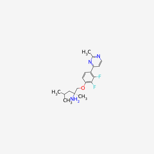 Cc1nccc(-c2ccc(OC[C@@](C)(N)CC(C)C)c(F)c2F)n1